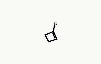 CCC1=CC[CH]1